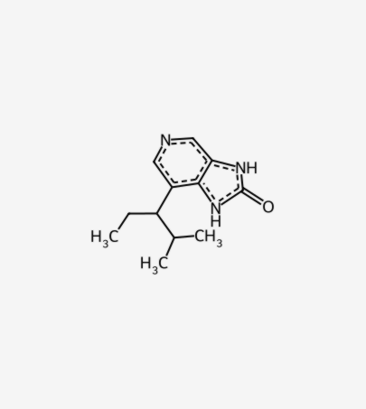 CCC(c1cncc2[nH]c(=O)[nH]c12)C(C)C